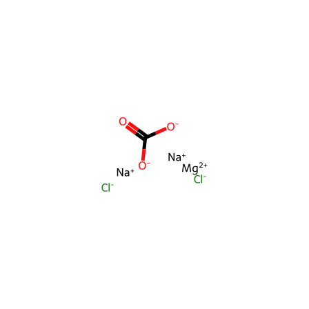 O=C([O-])[O-].[Cl-].[Cl-].[Mg+2].[Na+].[Na+]